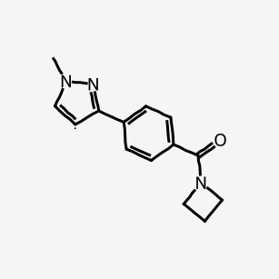 Cn1c[c]c(-c2ccc(C(=O)N3CCC3)cc2)n1